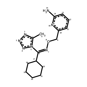 Cc1nnnn1C(=NOCc1cccc(N)n1)C1CCCCC1